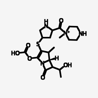 CC(O)C1C(=O)N2C(OC(=O)O)=C(SC3CNC(C(=O)[N+]4(C)CCNCC4)C3)C(C)[C@H]12